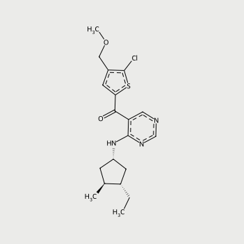 CC[C@H]1C[C@@H](Nc2ncncc2C(=O)c2cc(COC)c(Cl)s2)C[C@@H]1C